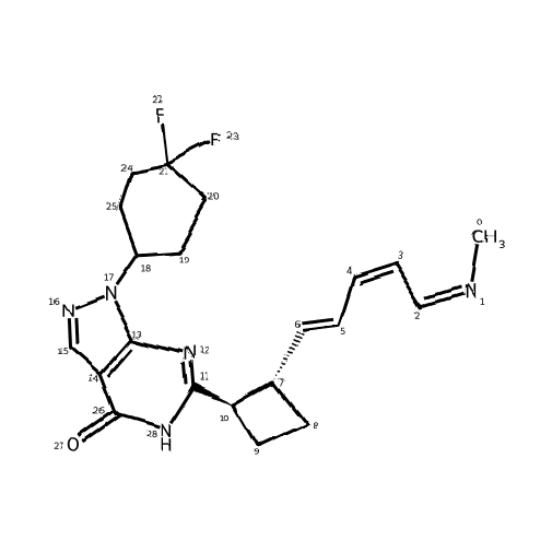 C\N=C/C=C\C=C\[C@@H]1CC[C@H]1c1nc2c(cnn2C2CCC(F)(F)CC2)c(=O)[nH]1